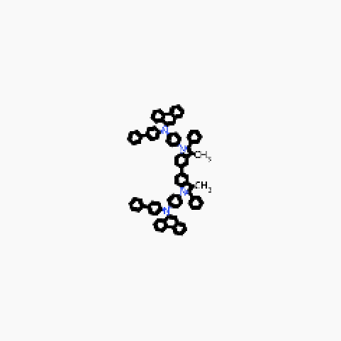 Cc1c(-c2ccccc2)n(-c2ccc(N(c3ccc(-c4ccccc4)cc3)c3cc4ccccc4c4ccccc34)cc2)c2ccc(-c3ccc4c(c3)c(C)c(-c3ccccc3)n4-c3ccc(N(c4ccc(-c5ccccc5)cc4)c4cc5ccccc5c5ccccc45)cc3)cc12